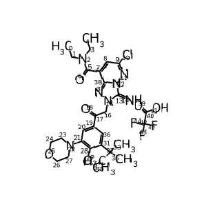 CCN(CC)C(=O)c1cc(Cl)nn2c(=N)n(CC(=O)c3cc(N4CCOCC4)c(OC)c(C(C)(C)C)c3)nc12.O=C(O)C(F)(F)F